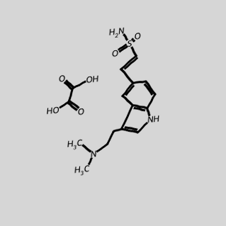 CN(C)CCc1c[nH]c2ccc(C=CS(N)(=O)=O)cc12.O=C(O)C(=O)O